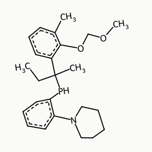 CCC(C)(Pc1ccccc1N1CCCCC1)c1cccc(C)c1OCOC